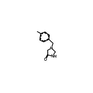 Cc1ccc(CN2CNC(=O)C2)cc1